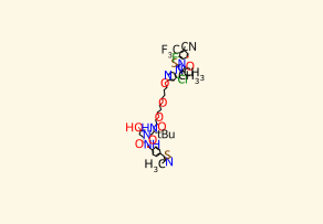 Cc1ncsc1-c1ccc(CNC(=O)[C@@H]2C[C@@H](O)CN2C(=O)[C@@H](NC(=O)COCCCOCCCCOc2cc(Cl)c(N3C(=S)N(c4ccc(C#N)c(C(F)(F)F)c4F)C(=O)C3(C)C)cn2)C(C)(C)C)cc1